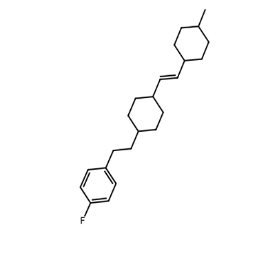 CC1CCC(/C=C/C2CCC(CCc3ccc(F)cc3)CC2)CC1